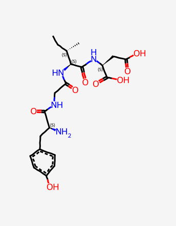 CC[C@H](C)[C@H](NC(=O)CNC(=O)[C@@H](N)Cc1ccc(O)cc1)C(=O)N[C@@H](CC(=O)O)C(=O)O